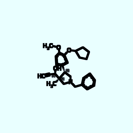 C#C[C@@H](O)[C@]1(C)CN(Cc2ccccc2)C[C@H]1c1ccc(OC)c(OC2CCCC2)c1